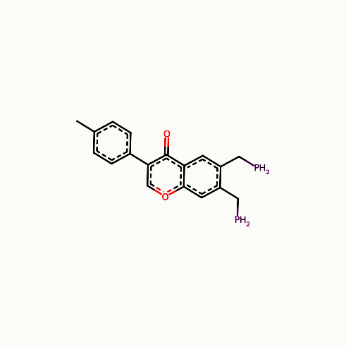 Cc1ccc(-c2coc3cc(CP)c(CP)cc3c2=O)cc1